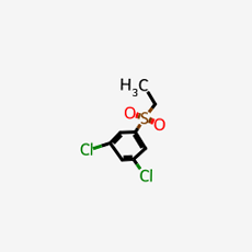 CCS(=O)(=O)c1cc(Cl)cc(Cl)c1